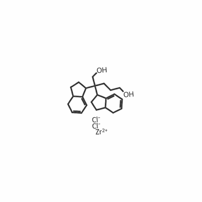 OCCCC(CO)(C1CCC2CC=CC=C21)C1CCC2CC=CC=C21.[Cl-].[Cl-].[Zr+2]